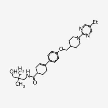 CCc1cnc(N2CCC(COc3ccc(C4=CCC(C(=O)NCC(C)(C)CO)CC4)cc3)CC2)nc1